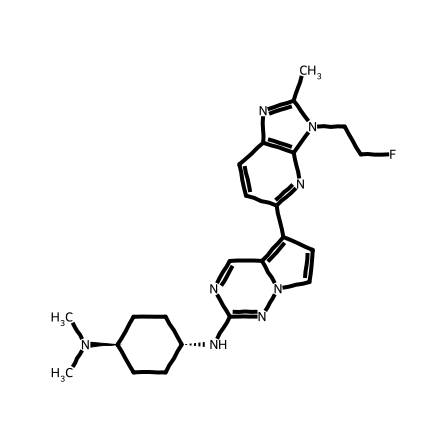 Cc1nc2ccc(-c3ccn4nc(N[C@H]5CC[C@H](N(C)C)CC5)ncc34)nc2n1CCF